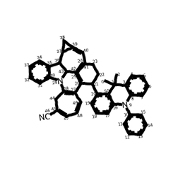 CC1(C)c2ccccc2N(c2ccccc2)c2cccc(C3CCCC=C3C3=C(N4c5ccccc5C5C6CC6=CC=CC54)CC(C#N)=CC=C3)c21